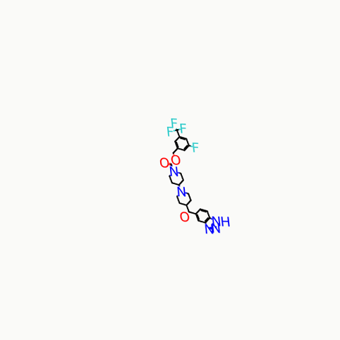 O=C(c1ccc2[nH]nnc2c1)C1CCN(C2CCN(C(=O)OCc3cc(F)cc(C(F)(F)F)c3)CC2)CC1